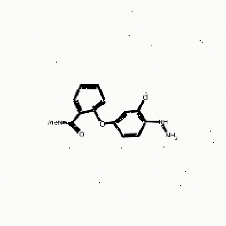 CNC(=O)c1ccccc1Oc1ccc(NN)c(Cl)c1